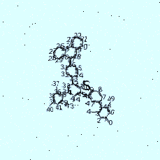 Cc1cc(C)c(-c2ccc3sc4c(-c5ccc(-c6cc7ccccc7c7ccccc67)cc5)cc(-c5c(C)cc(C)cc5C)cc4c3c2)c(C)c1